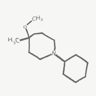 COC1(C)CCN(C2CCCCC2)CC1